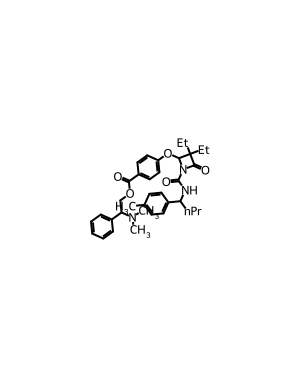 CCCC(NC(=O)N1C(=O)C(CC)(CC)C1Oc1ccc(C(=O)OCC(c2ccccc2)N(C)C)cc1)c1ccc(C)cc1